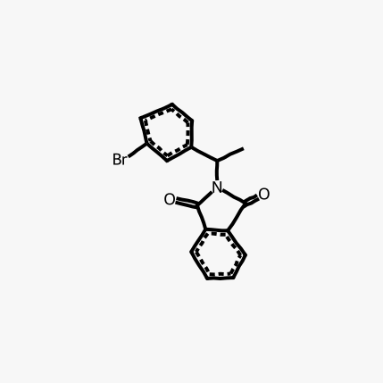 CC(c1cccc(Br)c1)N1C(=O)c2ccccc2C1=O